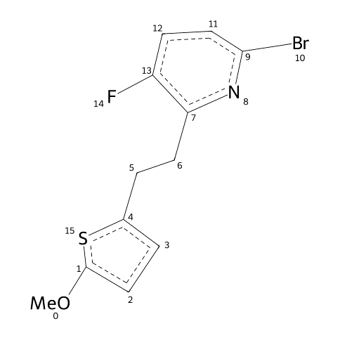 COc1ccc(CCc2nc(Br)ccc2F)s1